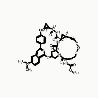 COc1ccc(-c2cc3cc(N(C)C)ccc3c(OC3C[C@H]4C(=O)N[C@]5(C(=O)NS(=O)(=O)C6CC6)C[C@H]5/C=C\COCCC[C@H](NC(=O)OC(C)(C)C)C(=O)N4C3)n2)cc1